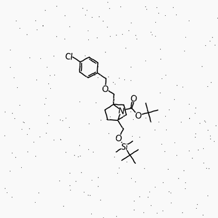 CC(C)(C)OC(=O)N1C2(COCc3ccc(Cl)cc3)CCC1(CO[Si](C)(C)C(C)(C)C)CC2